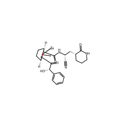 N#C[C@@H](C[C@H]1CCCNC1=O)NC(=O)[C@@H]1[C@@H]2CC[C@@H](CC2(F)F)N1C(=O)[C@@H](O)c1ccccc1